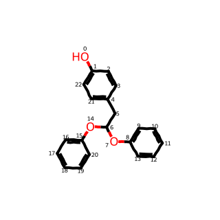 Oc1ccc(CC(Oc2ccccc2)Oc2ccccc2)cc1